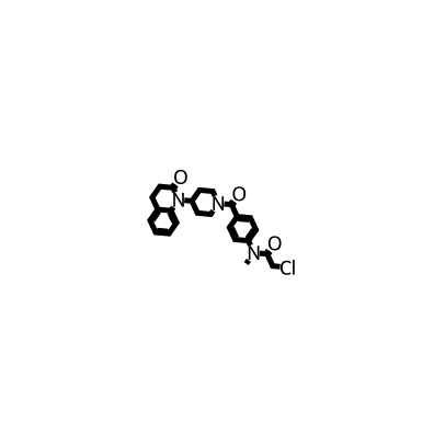 CN(C(=O)CCl)c1ccc(C(=O)N2CCC(N3C(=O)CCc4ccccc43)CC2)cc1